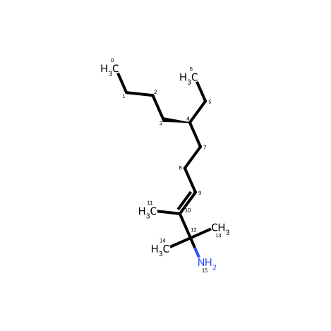 CCCC[C@@H](CC)CC/C=C(\C)C(C)(C)N